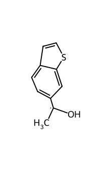 C[C](O)c1ccc2ccsc2c1